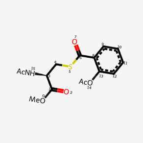 COC(=O)[C@H](CSC(=O)c1ccccc1OC(C)=O)NC(C)=O